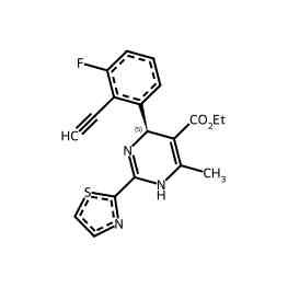 C#Cc1c(F)cccc1[C@@H]1N=C(c2nccs2)NC(C)=C1C(=O)OCC